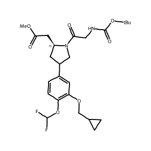 COC(=O)C[C@@H]1CC(c2ccc(OC(F)F)c(OCC3CC3)c2)CN1C(=O)CNC(=O)OC(C)(C)C